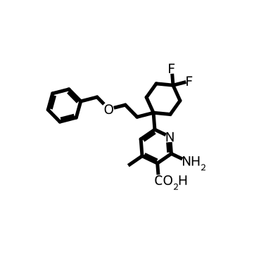 Cc1cc(C2(CCOCc3ccccc3)CCC(F)(F)CC2)nc(N)c1C(=O)O